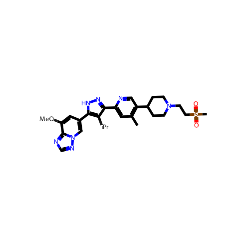 COc1cc(-c2[nH]nc(-c3cc(C)c(C4CCN(CCS(C)(=O)=O)CC4)cn3)c2C(C)C)cn2ncnc12